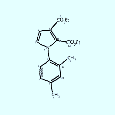 CCOC(=O)c1ccn(-c2ccc(C)cc2C)c1C(=O)OCC